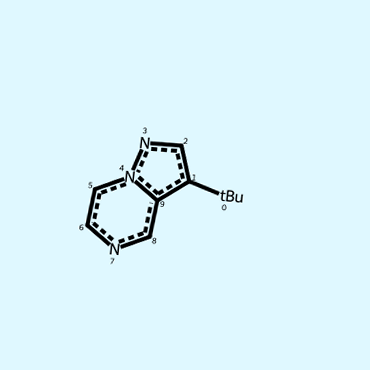 CC(C)(C)c1cnn2ccncc12